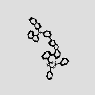 c1ccc(-c2nc(-c3ccccc3)nc(-c3ccccc3-c3cccc4sc5cc(-c6cccc(N(c7ccc8ccccc8c7)c7cccc8ccccc78)c6)ccc5c34)n2)cc1